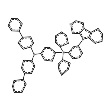 c1ccc(-c2ccc(N(c3ccc(-c4ccccc4)cc3)c3ccc([Si](c4ccccc4)(c4ccccc4)c4cccc(-n5c6ccccc6c6ccncc65)c4)cc3)cc2)cc1